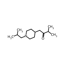 CC(C)CN1CCC(CC(=O)C(C)C)CC1